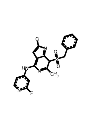 CC1=NC(Nc2ccnc(F)c2)=C2C=C(Cl)N=C2C1S(=O)(=O)Cc1ccccc1